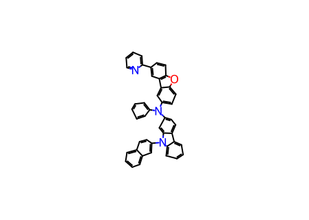 c1ccc(N(c2ccc3oc4ccc(-c5ccccn5)cc4c3c2)c2ccc3c4ccccc4n(-c4ccc5ccccc5c4)c3c2)cc1